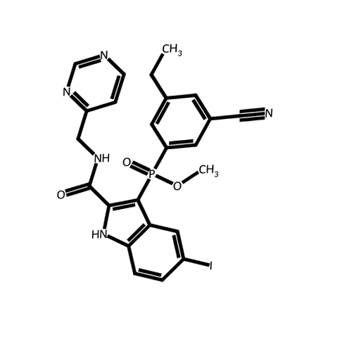 CCc1cc(C#N)cc(P(=O)(OC)c2c(C(=O)NCc3ccncn3)[nH]c3ccc(I)cc23)c1